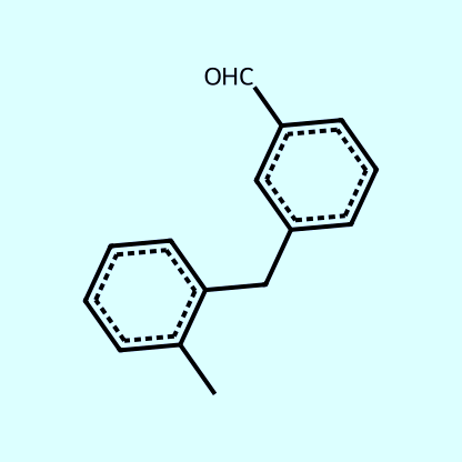 Cc1ccccc1Cc1cccc(C=O)c1